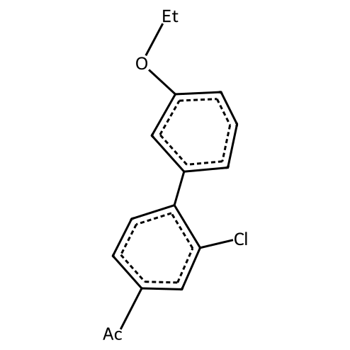 CCOc1cccc(-c2ccc(C(C)=O)cc2Cl)c1